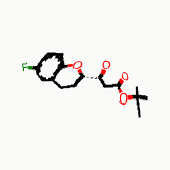 CC(C)(C)OC(=O)CC(=O)[C@@H]1CCc2cc(F)ccc2O1